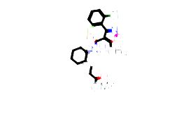 COC(=O)CC[C@@H]1CCCC[C@H]1NC(=O)c1c(-c2c(F)cccc2Cl)noc1C